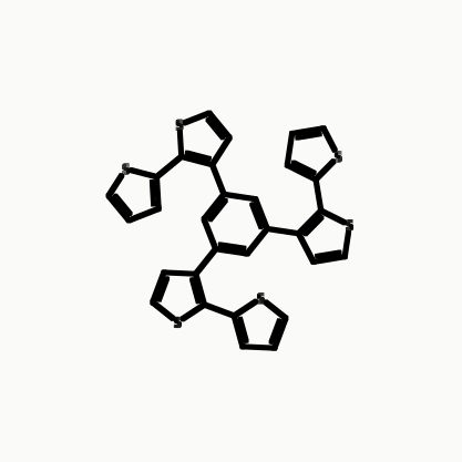 c1csc(-c2sccc2-c2cc(-c3ccsc3-c3cccs3)cc(-c3ccsc3-c3cccs3)c2)c1